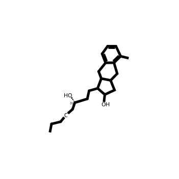 CCCCC[C@H](O)CCC1C(O)CC2Cc3c(C)cccc3CC21